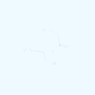 CC(C)(C)OC(=O)Cl.CNCC(=O)O